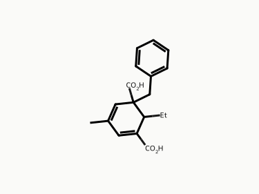 CCC1C(C(=O)O)=CC(C)=CC1(Cc1ccccc1)C(=O)O